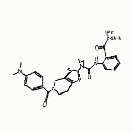 CC(C)NC(=O)c1ccccc1NC(=O)Nc1nc2c(s1)CN(C(=O)c1ccc(N(C)C)cc1)CC2